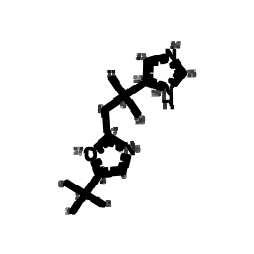 CC(C)(C)c1cnc(CC(C)(C)c2cnc[nH]2)o1